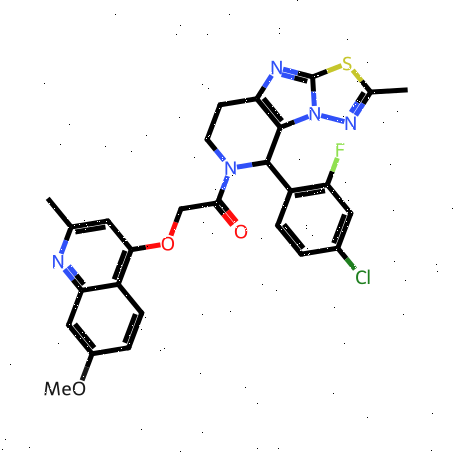 COc1ccc2c(OCC(=O)N3CCc4nc5sc(C)nn5c4C3c3ccc(Cl)cc3F)cc(C)nc2c1